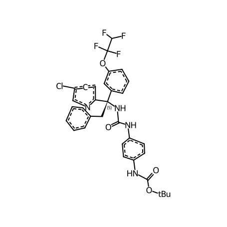 CC(C)(C)OC(=O)Nc1ccc(NC(=O)N[C@@](Cc2ccccc2)(c2cccc(OC(F)(F)C(F)F)c2)c2ccc(Cl)cn2)cc1